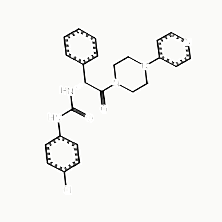 O=C(Nc1ccc(Cl)cc1)N[C@@H](C(=O)N1CCN(c2ccncc2)CC1)c1ccccc1